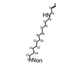 C=CCNCCCCCCCCCCCCCCCCCCCCC